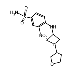 NS(=O)(=O)c1ccc(NC2CN(C3CCOC3)C2)c([N+](=O)[O-])c1